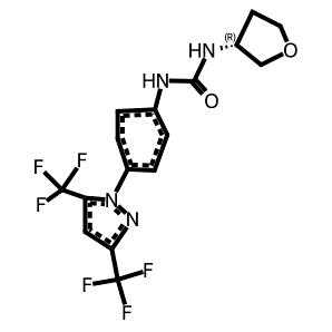 O=C(Nc1ccc(-n2nc(C(F)(F)F)cc2C(F)(F)F)cc1)N[C@@H]1CCOC1